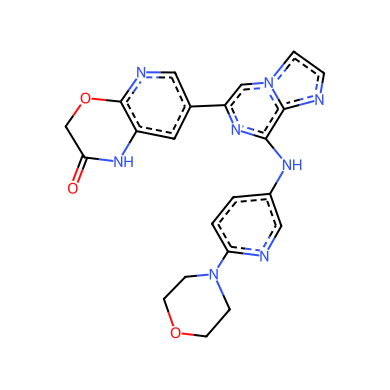 O=C1COc2ncc(-c3cn4ccnc4c(Nc4ccc(N5CCOCC5)nc4)n3)cc2N1